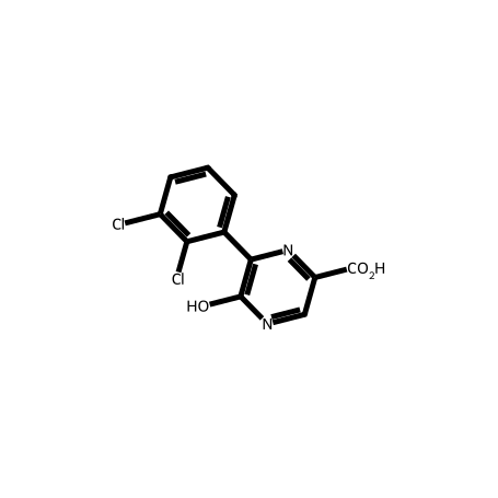 O=C(O)c1cnc(O)c(-c2cccc(Cl)c2Cl)n1